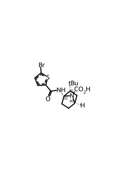 CC(C)(C)[C@@H]1C[C@H]2CC[C@]1(NC(=O)c1ccc(Br)s1)N2C(=O)O